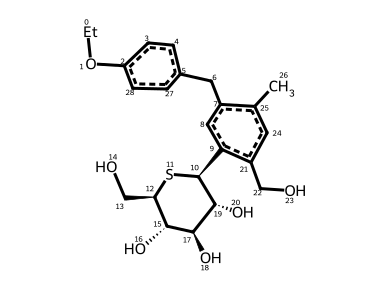 CCOc1ccc(Cc2cc([C@@H]3S[C@H](CO)[C@@H](O)[C@H](O)[C@H]3O)c(CO)cc2C)cc1